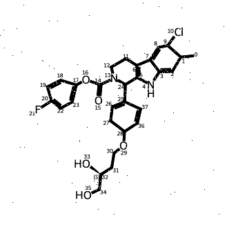 CC1C=c2[nH]c3c(c2=CC1Cl)CCN(C(=O)Oc1ccc(F)cc1)C3C1=CCC(OCC[C@H](O)CO)C=C1